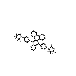 CC1=NC(C)(C)C(C)(C)N1c1ccc(-c2c3ccccc3c(-c3ccc(N4C(C)=NC(C)(C)C4(C)C)cc3)c3c4ccccc4c4ccccc4c23)cc1